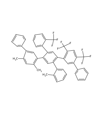 Cc1cc(C)c(-c2cc(-c3ccccc3C)c(-c3cc(-c4ccccc4)c(C(F)(F)F)cc3C(F)(F)F)cc2-c2ccccc2C(F)(F)F)cc1-c1ccccc1